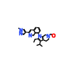 CCc1c(C(C)C)c2c(n1-c1cccc3cc(-c4cnn(C)c4)ncc13)CN(C=O)CC2